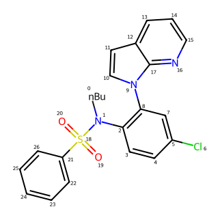 CCCCN(c1ccc(Cl)cc1-n1ccc2cccnc21)S(=O)(=O)c1ccccc1